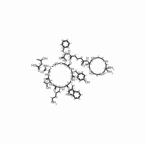 CC(O)[C@H](NC(=O)[C@@H]1CSSC[C@H](NC(=O)[C@@H](Cc2ccccc2)NC(=O)CCCC(=O)NC2(N)CNCCNCC(N)(N)CNCCNC2)C(=O)N[C@@H](Cc2ccc(O)cc2)C(=O)N[C@H](Cc2c[nH]c3ccccc23)C(=O)N[C@@H](CCCCN)C(=O)N[C@@H](C(C)O)C(=O)N1)C(=O)O